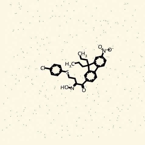 CCCC1(CCC)c2cc(C(=O)/C(CCSc3ccc(Cl)cc3)=N/O)ccc2-c2ccc([N+](=O)[O-])cc21